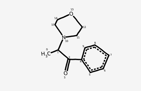 CC(C(=O)c1ccccc1)N1CCOCC1